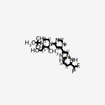 CC1C(CO)N(C(C)(C)C)CCN1c1cc(-c2cnc(/C=C\C(=N)C(F)F)[nH]2)ncn1